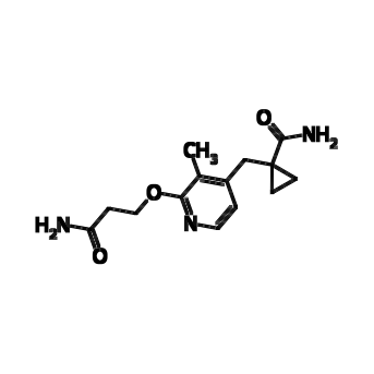 Cc1c(CC2(C(N)=O)CC2)ccnc1OCCC(N)=O